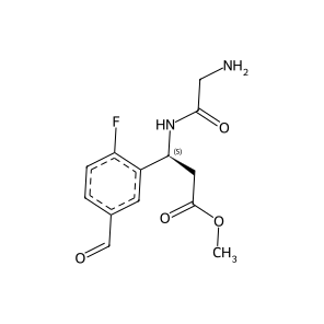 COC(=O)C[C@H](NC(=O)CN)c1cc(C=O)ccc1F